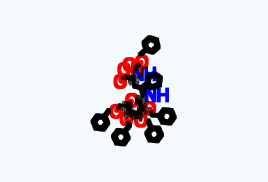 O=C(N[C@@H](Cc1c([C@H]2O[C@H](COCc3ccccc3)[C@@H](OCc3ccccc3)[C@H](OCc3ccccc3)[C@@H]2OCc2ccccc2)[nH]c2ccccc12)C(=O)O)OCc1ccccc1